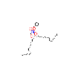 CCCCC/C=C\C/C=C\CCCCCCCC1OCCN(C(=O)OCc2ccccc2)COC1CCCCCCC/C=C\C/C=C\CCCCC